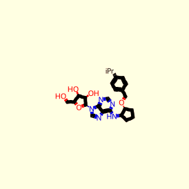 CC(C)c1ccc(CO[C@@H]2CCCC2Nc2ncnc3c2ncn3[C@@H]2OC(CO)[C@@H](O)[C@H]2O)cc1